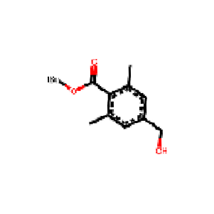 Cc1cc(CO)cc(C)c1C(=O)OC(C)(C)C